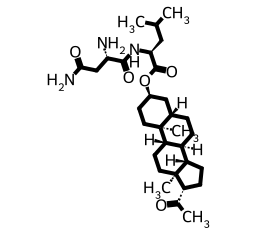 CC(=O)[C@H]1CC[C@H]2[C@@H]3CC[C@H]4C[C@H](OC(=O)[C@H](CC(C)C)NC(=O)[C@@H](N)CC(N)=O)CC[C@]4(C)[C@H]3CC[C@]12C